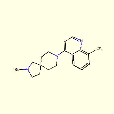 CC(C)(C)N1CCC2(CCN(c3ccnc4c(C(F)(F)F)cccc34)CC2)C1